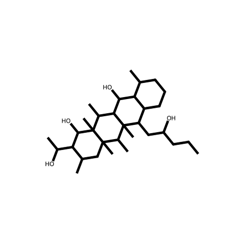 CCCC(O)CC1C2CCCC(C)C2C(O)C2C(C)C3(C)C(O)C(C(C)O)C(C)CC3(C)C(C)C12C